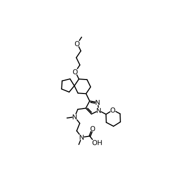 COCCCOC1CCC(c2nn(C3CCCCO3)cc2CN(C)CCN(C)C(=O)O)CC12CCCC2